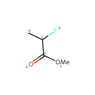 [CH2]C(F)C(=O)OC